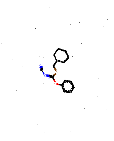 N#C/N=C(/Oc1ccccc1)SCC1CCCCC1